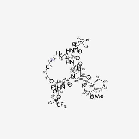 CC[C@@H]1OCCC/C=C\[C@@H]2C[C@@]2(C(=O)NS(=O)(=O)C2(C)CC2)NC(=O)[C@@H]2C[C@@H](Oc3ncc(OC)c4ccccc34)CN2C(=O)[C@H]1NC(=O)OC(C)(C)C(F)(F)F